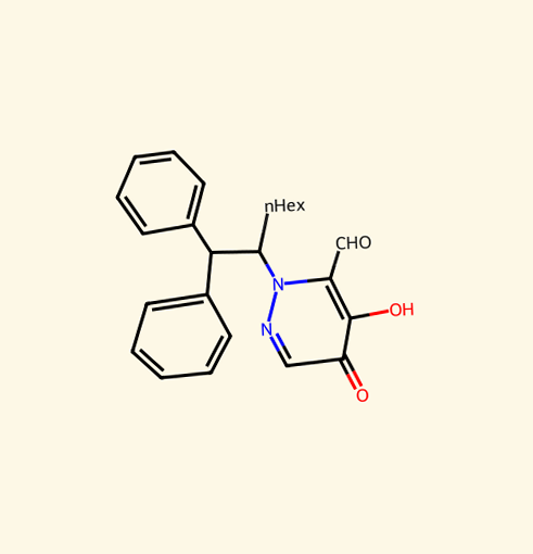 CCCCCCC(C(c1ccccc1)c1ccccc1)n1ncc(=O)c(O)c1C=O